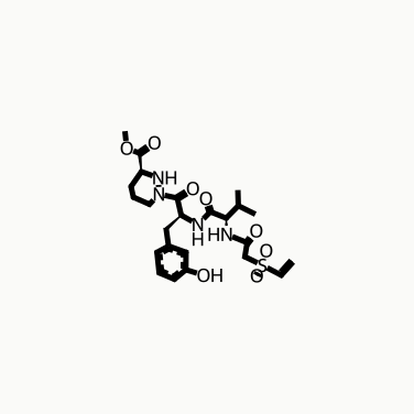 C=CS(=O)(=O)CC(=O)N[C@H](C(=O)N[C@@H](Cc1cccc(O)c1)C(=O)N1CCC[C@@H](C(=O)OC)N1)C(C)C